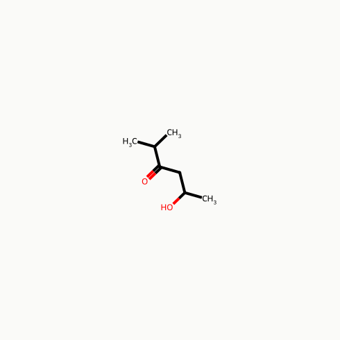 CC(O)CC(=O)C(C)C